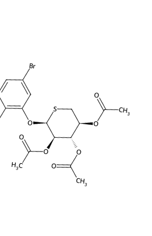 CC(=O)O[C@@H]1[C@@H](OC(C)=O)[C@@H](Oc2cc(Br)cnc2Cl)SC[C@H]1OC(C)=O